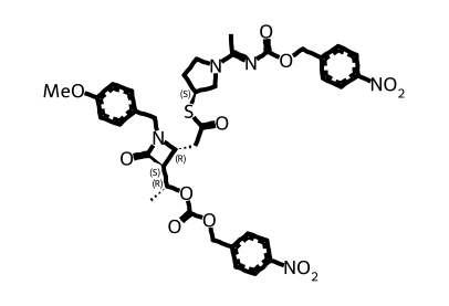 COc1ccc(CN2C(=O)[C@H]([C@@H](C)OC(=O)OCc3ccc([N+](=O)[O-])cc3)[C@H]2CC(=O)S[C@H]2CCN(C(C)=NC(=O)OCc3ccc([N+](=O)[O-])cc3)C2)cc1